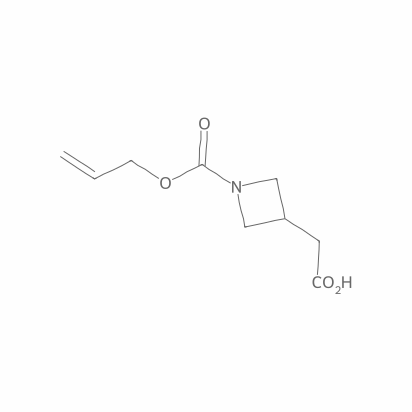 C=CCOC(=O)N1CC(CC(=O)O)C1